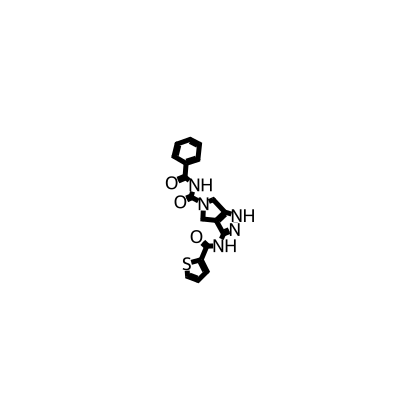 O=C(NC(=O)N1Cc2[nH]nc(NC(=O)c3cccs3)c2C1)c1ccccc1